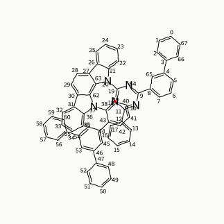 c1ccc(-c2cccc(-c3nc(-c4ccccc4)nc(-n4c5ccccc5c5ccc6c7ccccc7n(-c7ccccc7-c7cc(-c8ccccc8)cc(-c8ccccc8)c7)c6c54)n3)c2)cc1